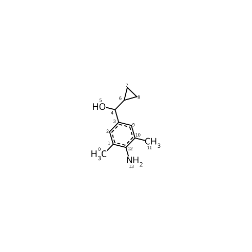 Cc1cc(C(O)C2CC2)cc(C)c1N